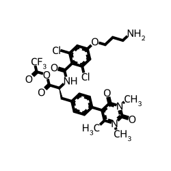 Cc1c(-c2ccc(C[C@H](NC(=O)c3c(Cl)cc(OCCCN)cc3Cl)C(=O)OC(=O)C(F)(F)F)cc2)c(=O)n(C)c(=O)n1C